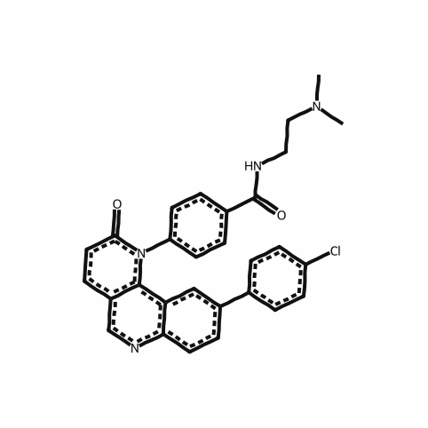 CN(C)CCNC(=O)c1ccc(-n2c(=O)ccc3cnc4ccc(-c5ccc(Cl)cc5)cc4c32)cc1